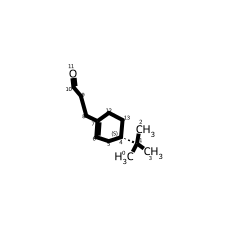 CC(C)(C)[C@@H]1CC=C(CCC=O)CC1